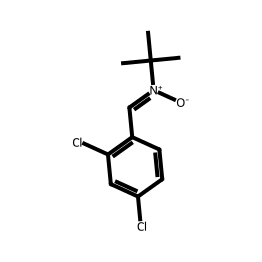 CC(C)(C)[N+]([O-])=Cc1ccc(Cl)cc1Cl